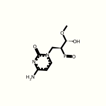 CO[C@H](O)[C@H](Cn1ccc(N)nc1=O)P=O